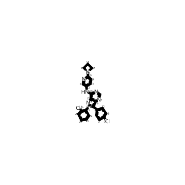 Clc1ccc(-c2c3ncnc(Nc4ccc(N5CCC5)nc4)c3nn2-c2ccccc2Cl)cc1